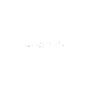 CCOc1ccc(/C=C/c2ccc(-c3ccc(C4CCC(OC)CC4)c(F)c3F)cc2)cc1F